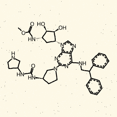 COC(=O)N[C@H]1C[C@@H](n2cnc3c(NCC(c4ccccc4)c4ccccc4)nc(N4CC[C@@H](NC(=O)NC5CCNC5)C4)nc32)[C@H](O)[C@@H]1O